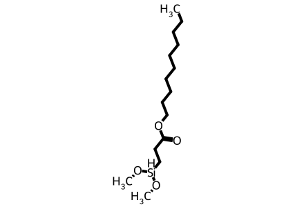 CCCCCCCCCCOC(=O)CC[SiH](OC)OC